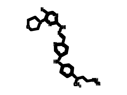 CCNCCN(C)c1ccc(Nc2ccc(/C=N/Nc3ncc(F)c(N4CCOCC4)n3)nc2)cc1